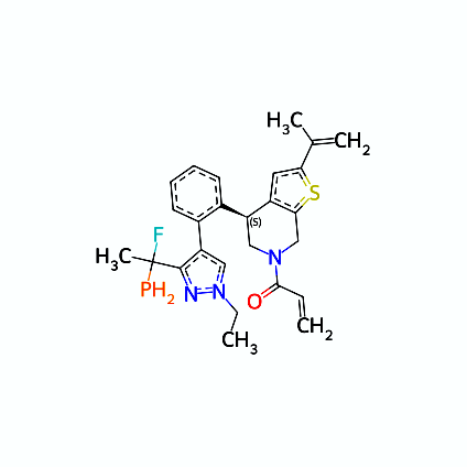 C=CC(=O)N1Cc2sc(C(=C)C)cc2[C@H](c2ccccc2-c2cn(CC)nc2C(C)(F)P)C1